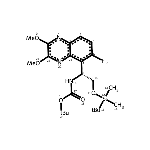 COc1nc2ccc(F)c([C@H](CO[Si](C)(C)C(C)(C)C)NC(=O)OC(C)(C)C)c2nc1OC